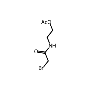 CC(=O)OCCNC(=O)CBr